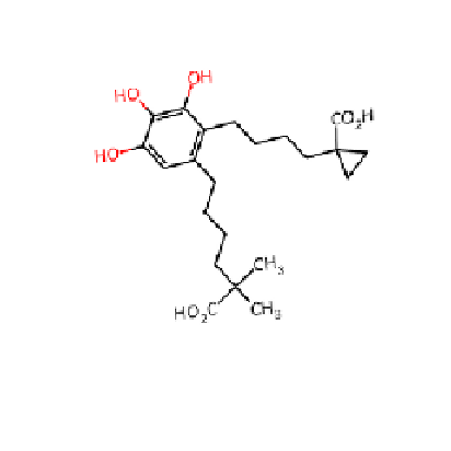 CC(C)(CCCCc1cc(O)c(O)c(O)c1CCCCC1(C(=O)O)CC1)C(=O)O